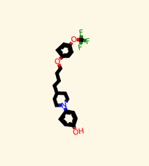 Oc1ccc(N2CCC(CCCCOc3ccc(OC(F)(F)F)cc3)CC2)cc1